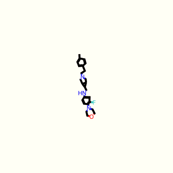 Cc1ccc(CCN2CC3C(CNc4ccc(N5CCOCC5)c(F)c4)C3C2)cc1